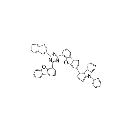 c1ccc(-n2c3ccccc3c3c(-c4ccc5c(c4)oc4c(-c6nc(-c7ccc8ccccc8c7)nc(-c7cccc8c7oc7ccccc78)n6)cccc45)cccc32)cc1